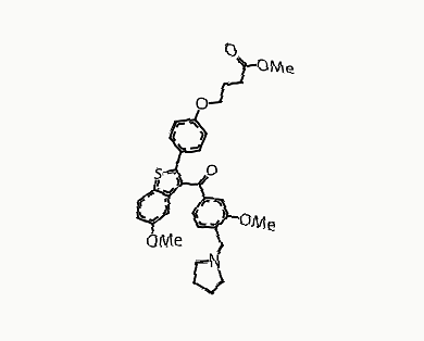 COC(=O)CCCOc1ccc(-c2sc3ccc(OC)cc3c2C(=O)c2ccc(CN3CCCC3)c(OC)c2)cc1